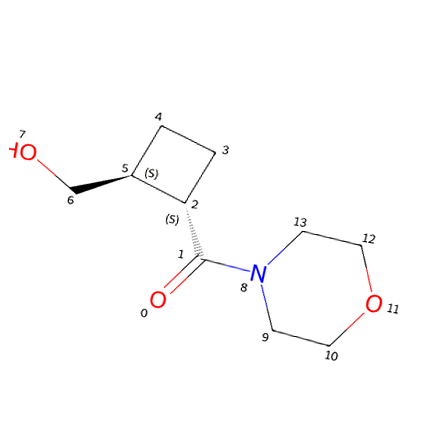 O=C([C@H]1CC[C@@H]1CO)N1CCOCC1